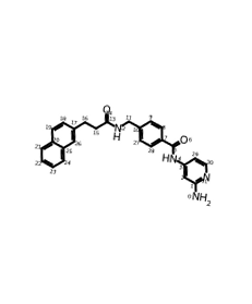 Nc1cc(NC(=O)c2ccc(CNC(=O)CCc3ccc4ccccc4c3)cc2)ccn1